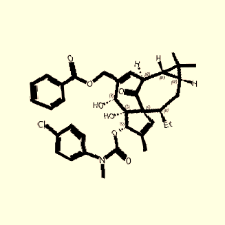 CC[C@@H]1C[C@@H]2[C@H]([C@@H]3C=C(COC(=O)c4ccccc4)[C@@H](O)[C@]4(O)[C@@H](OC(=O)N(C)c5ccc(Cl)cc5)C(C)=C[C@@]14C3=O)C2(C)C